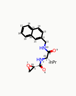 CCC[C@H](NC(=O)[C@@H]1CO1)C(=O)NCc1ccc2ccccc2c1